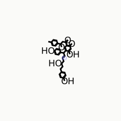 COc1cc(O)c(C(/C=C/CC(O)CCc2ccc(O)cc2)c2ccc(O)cc2)c2c1C(=O)CC(c1ccc(C)cc1)O2